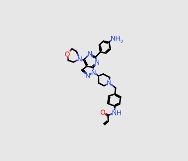 C=CC(=O)Nc1ccc(CN2CCC(n3ncc4c(N5CCOCC5)nc(-c5ccc(N)cc5)nc43)CC2)cc1